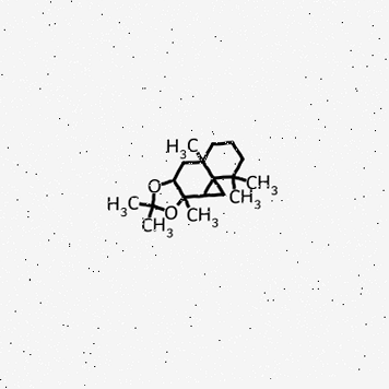 CC1(C)OC2CC3(C)CCCC(C)(C)C34CC4C2(C)O1